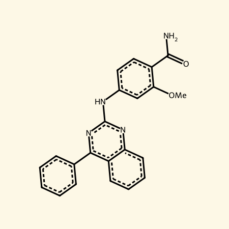 COc1cc(Nc2nc(-c3ccccc3)c3ccccc3n2)ccc1C(N)=O